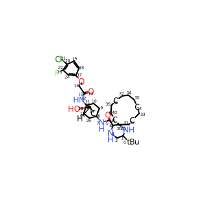 CC(C)(C)C1CNC(C(=O)NC23CCC(NC(=O)COc4ccc(Cl)c(F)c4)(CC2)[C@@H](O)C3)C2(CCCCCCCCCCC2)N1